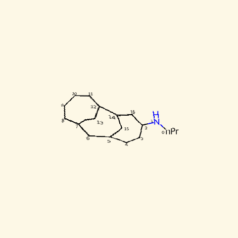 CCCNC1CCC2CC3CCCCC(C3)C(C2)C1